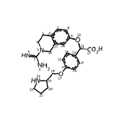 N=C(N)N1CCc2ccc(OC(C(=O)O)c3ccc(OCC4CCCN4)cc3)cc2C1